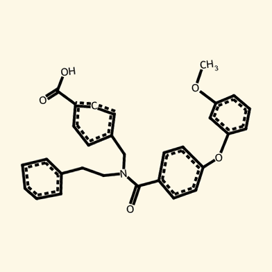 COc1cccc(Oc2ccc(C(=O)N(CCc3ccccc3)Cc3ccc(C(=O)O)cc3)cc2)c1